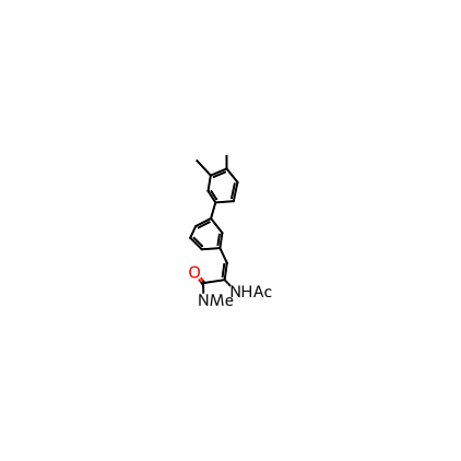 CNC(=O)C(=Cc1cccc(-c2ccc(C)c(C)c2)c1)NC(C)=O